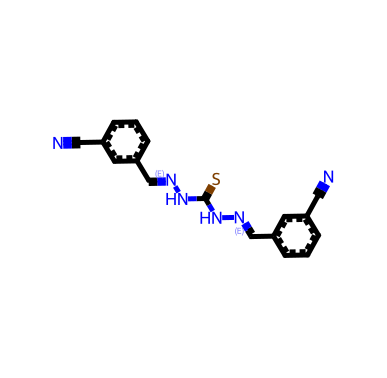 N#Cc1cccc(/C=N/NC(=S)N/N=C/c2cccc(C#N)c2)c1